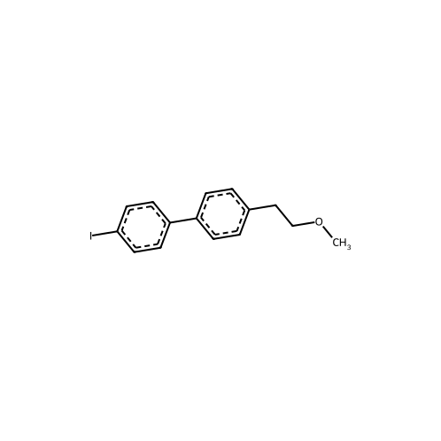 COCCc1ccc(-c2ccc(I)cc2)cc1